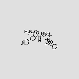 CN1CCN(c2ccc(C(=O)Nc3n[nH]c4c3CN(S(=O)(=O)Cc3ccccc3)CC4(C)C)c(C(N)=O)c2)CC1